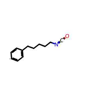 O=C=NCCCCCc1cc[c]cc1